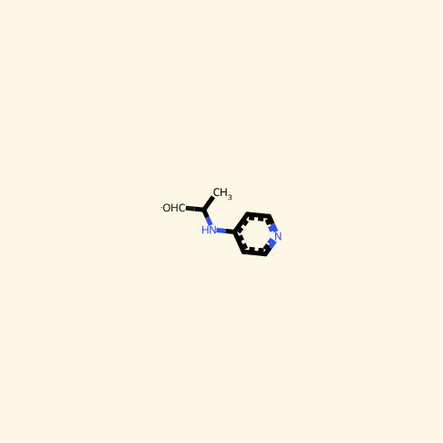 CC([C]=O)Nc1ccncc1